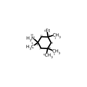 CCC1(C)CC(C)(C)CC(C)(N)C1